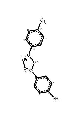 CCCC.Nc1ccc(OOOc2ccc(N)cc2)cc1